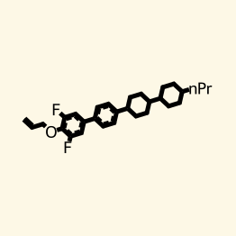 C=CCOc1c(F)cc(-c2ccc(C3CCC(C4CCC(CCC)CC4)CC3)cc2)cc1F